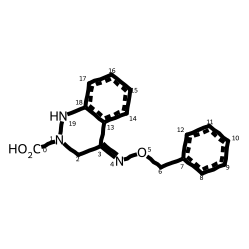 O=C(O)N1C/C(=N/OCc2ccccc2)c2ccccc2N1